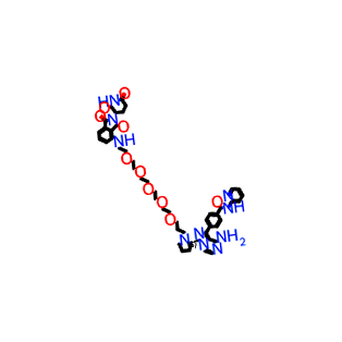 Nc1nccn2c([C@@H]3CCCN3CCCOCCOCCOCCOCCOCCNc3cccc4c3C(=O)N(C3CCC(=O)NC3=O)C4=O)nc(-c3ccc(C(=O)Nc4ccccn4)cc3)c12